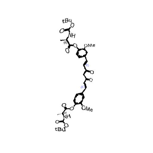 COc1cc(/C=C/C(=O)CC(=O)/C=C/c2ccc(OC(=O)[C@@H](C)NC(=O)OC(C)(C)C)c(OC)c2)ccc1OC(=O)[C@@H](C)NC(=O)OC(C)(C)C